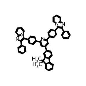 CC1(C)c2ccccc2-c2ccc(-c3cc(C4=CCC(c5c(-c6ccccc6)nc6ccccn56)C=C4)nc(-c4ccc(-c5c(-c6ccccc6)nc6ccccn56)cc4)c3)cc21